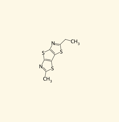 CCc1nc2sc3nc(C)sc3c2s1